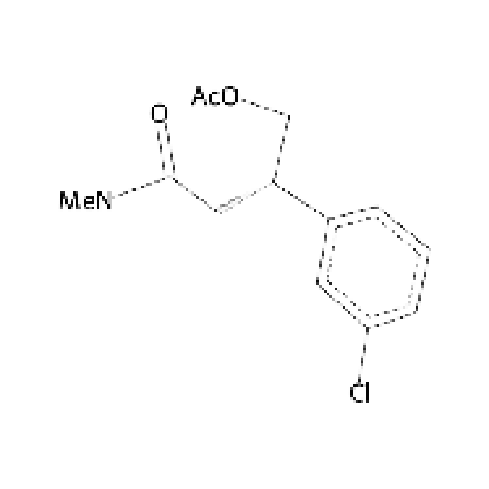 CNC(=O)C[C@H](COC(C)=O)c1cccc(Cl)c1